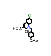 COc1ccc(CN2c3ccc(Cl)cc3C=C(C(=O)O)[C@H]2C(F)(F)F)cc1